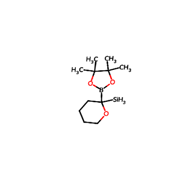 CC1(C)OB(C2([SiH3])CCCCO2)OC1(C)C